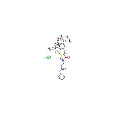 CC(C)(C)c1cc(/C=C2\SCN(CCNCc3ccccc3)C2=O)cc(C(C)(C)C)c1O.Cl